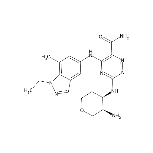 CCn1ncc2cc(Nc3nc(N[C@@H]4CCOC[C@@H]4N)nnc3C(N)=O)cc(C)c21